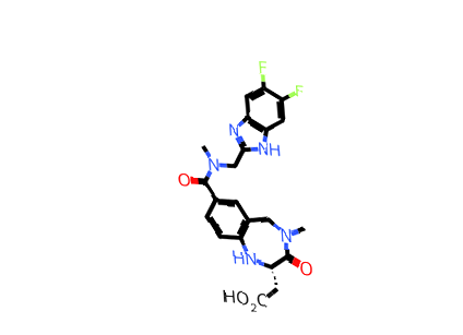 CN(Cc1nc2cc(F)c(F)cc2[nH]1)C(=O)c1ccc2c(c1)CN(C)C(=O)[C@H](CC(=O)O)N2